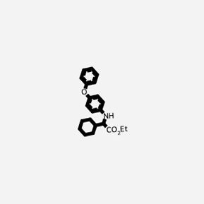 CCOC(=O)C(Nc1ccc(Oc2ccccc2)cc1)C1CCCCC1